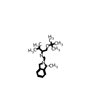 CC(C)C(COC(C)(C)C)/N=C/N1Cc2ccccc2[C@H]1C